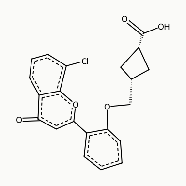 O=c1cc(-c2ccccc2OC[C@H]2C[C@@H](C(=O)O)C2)oc2c(Cl)cccc12